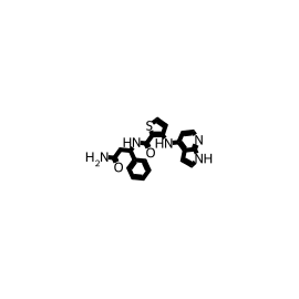 NC(=O)CC(NC(=O)c1sccc1Nc1ccnc2[nH]ccc12)c1ccccc1